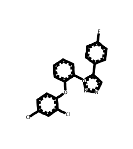 Fc1ccc(-c2cnnn2-c2ccccc2Oc2ccc(Cl)cc2Cl)cc1